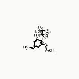 C=Cc1ccc(O[Si](C)(C)C(C)(C)C)c(OCC)c1